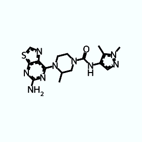 Cc1c(NC(=O)N2CCN(c3nc(N)nc4scnc34)C(C)C2)cnn1C